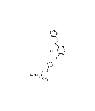 CC(=O)N[C@@H](C)CO[C@H]1C[C@H](COc2ncnc(OCc3cscn3)c2Cl)C1